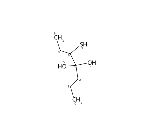 CCCC(O)(O)C(S)CC